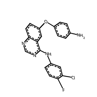 Nc1ccc(Oc2ccc3ncnc(Nc4ccc(F)c(Cl)c4)c3c2)cc1